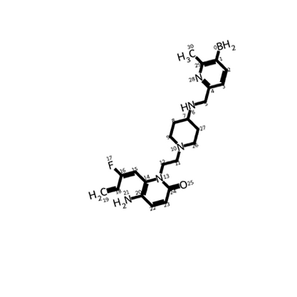 Bc1ccc(CNC2CCN(CCn3c(/C=C(/F)C=C)c(N)ccc3=O)CC2)nc1C